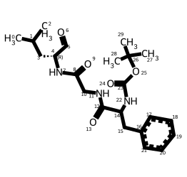 CC(C)C[C@H](C=O)NC(=O)CNC(=O)C(Cc1ccccc1)NC(=O)OC(C)(C)C